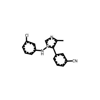 Cc1ncn(Nc2cccc(Cl)c2)c1-c1cccc(C#N)c1